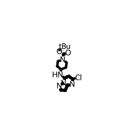 CC(C)(C)OC(=O)N1CCC(Nc2cc(Cl)nc3ccnn23)CC1